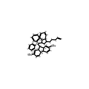 C=CCCCC1CC([Si](c2ccccc2)(c2ccccc2)C2C3C=C(C(C)(C)C)C=CC3C3C=CC(C(C)(C)C)=CC32)C2C=CC=CC12